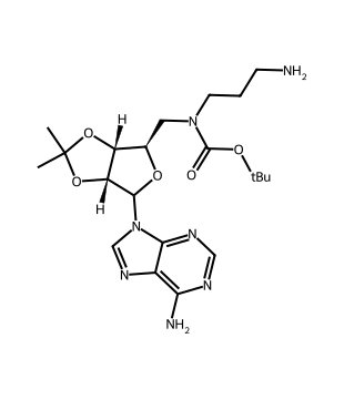 CC(C)(C)OC(=O)N(CCCN)C[C@H]1OC(n2cnc3c(N)ncnc32)[C@@H]2OC(C)(C)O[C@H]12